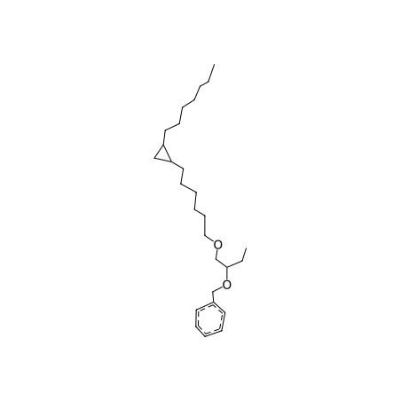 CCCCCCCC1CC1CCCCCCOCC(CC)OCc1ccccc1